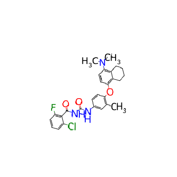 Cc1cc(NC(=O)NC(=O)c2c(F)cccc2Cl)ccc1Oc1ccc(N(C)C)c2c1CCCC2